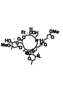 CC[C@H]1OC(=O)[C@H](C)[C@@H](O[C@H]2C[C@@](C)(OC)[C@@H](O)[C@H](C)O2)[C@H](C)[C@@H](O[C@@H]2O[C@H](C)C[C@H](N(C)C)[C@H]2OCCCNC(=O)CCCC(=O)OC)[C@](C)(O)C[C@@H](C)CN(C)[C@H](C)[C@@H](O)[C@]1(C)O